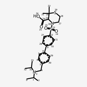 CC(C)N(Cc1ccc(-c2ccc(S(=O)(=O)N3CCSC(C)(C)C3C(=O)O)cc2)cc1)C(C)C